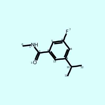 CNC(=O)c1cc(F)cc(C(C)C)c1